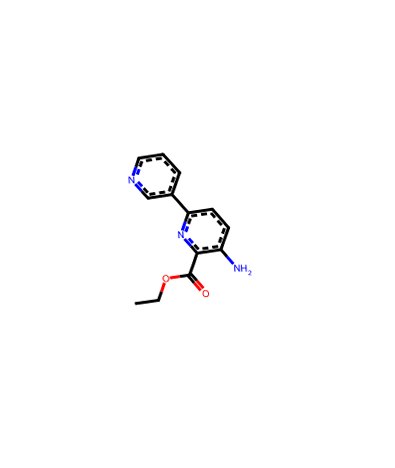 CCOC(=O)c1nc(-c2cccnc2)ccc1N